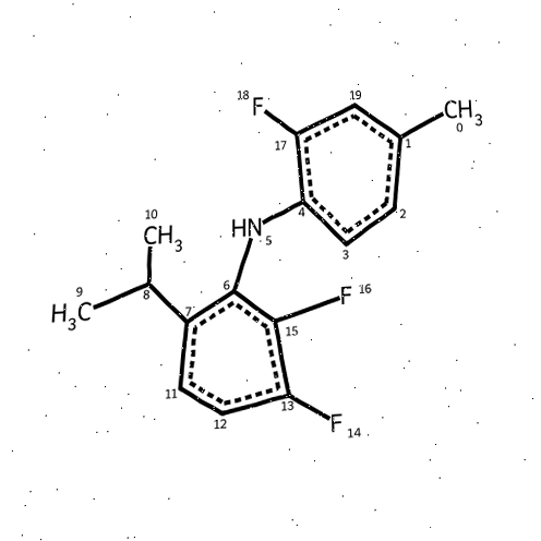 Cc1ccc(Nc2c(C(C)C)ccc(F)c2F)c(F)c1